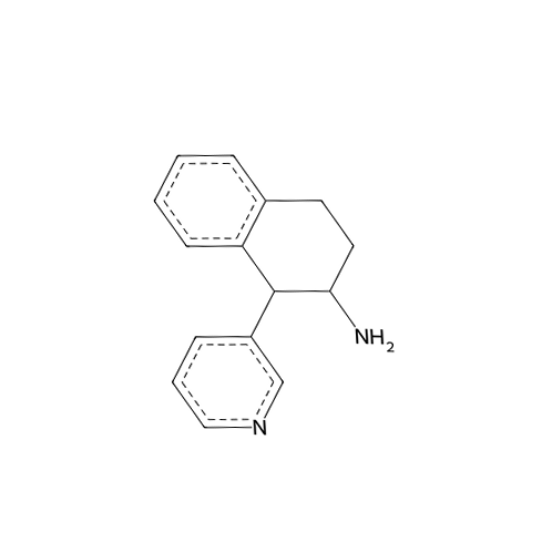 NC1CCc2ccccc2C1c1cccnc1